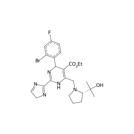 CCOC(=O)C1=C(CN2CCC[C@H]2C(C)(C)O)NC(C2=NCC=N2)=NC1c1ccc(F)cc1Br